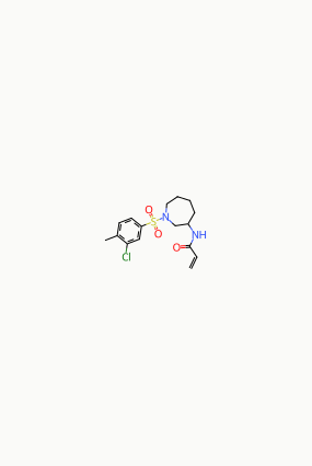 C=CC(=O)NC1CCCCN(S(=O)(=O)c2ccc(C)c(Cl)c2)C1